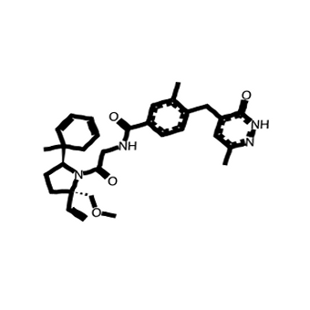 C=C[C@@]1(COC)CC[C@@H](C2(C)C=CC=CC2)N1C(=O)CNC(=O)c1ccc(Cc2cc(C)n[nH]c2=O)c(C)c1